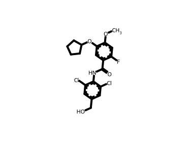 COc1cc(F)c(C(=O)Nc2c(Cl)cc(CO)cc2Cl)cc1OC1CCCC1